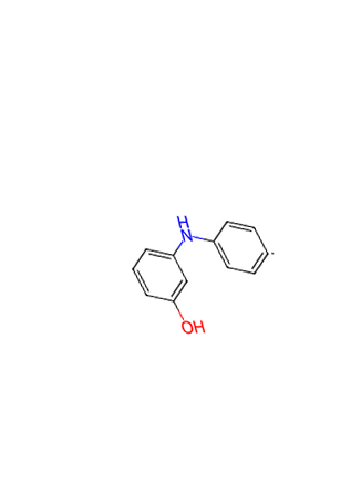 Oc1cccc(Nc2cc[c]cc2)c1